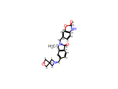 C[C@H]1c2cc(CN3CC4(COC4)C3)ccc2C(=O)N1Cc1ccc2[nH]c(=O)oc2c1